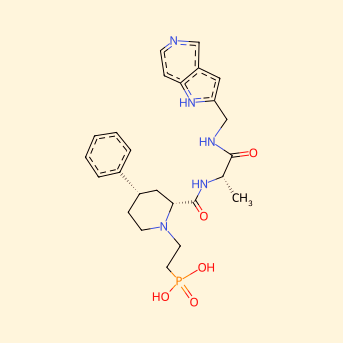 C[C@H](NC(=O)[C@H]1C[C@@H](c2ccccc2)CCN1CCP(=O)(O)O)C(=O)NCc1cc2cnccc2[nH]1